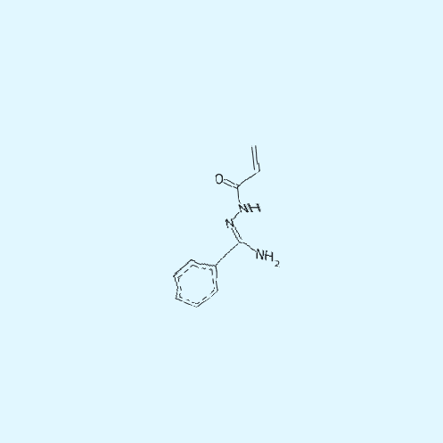 C=CC(=O)NN=C(N)c1ccccc1